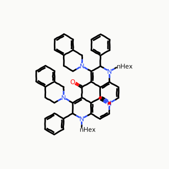 CCCCCCN1c2ccncc2C(C(=O)C2=C(N3CCc4ccccc4C3)C(c3ccccc3)N(CCCCCC)c3ccncc32)=C(N2CCc3ccccc3C2)C1c1ccccc1